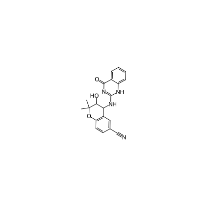 CC1(C)Oc2ccc(C#N)cc2C(Nc2nc(=O)c3ccccc3[nH]2)C1O